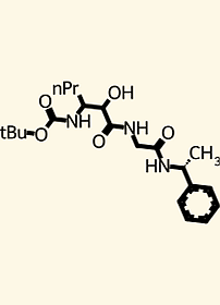 CCCC(NC(=O)OC(C)(C)C)C(O)C(=O)NCC(=O)N[C@H](C)c1ccccc1